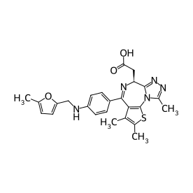 Cc1ccc(CNc2ccc(C3=N[C@@H](CC(=O)O)c4nnc(C)n4-c4sc(C)c(C)c43)cc2)o1